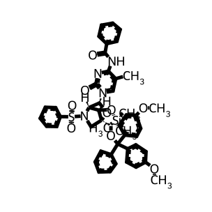 COc1ccc(C(OC[C@@]23CN(S(=O)(=O)c4ccccc4)[C@@H]([C@H](n4cc(C)c(NC(=O)c5ccccc5)nc4=O)O2)[C@@H]3O[Si](C)(C)C)(c2ccccc2)c2ccc(OC)cc2)cc1